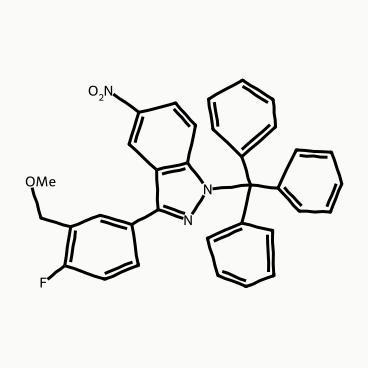 COCc1cc(-c2nn(C(c3ccccc3)(c3ccccc3)c3ccccc3)c3ccc([N+](=O)[O-])cc23)ccc1F